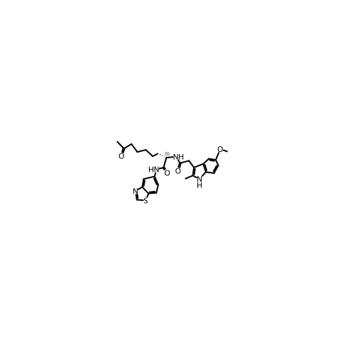 COc1ccc2[nH]c(C)c(CC(=O)N[C@@H](CCCCCC(C)=O)C(=O)Nc3ccc4scnc4c3)c2c1